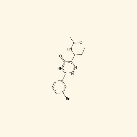 CCC(NC(C)=O)c1nnc(-c2cccc(Br)c2)[nH]c1=O